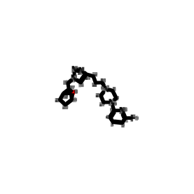 Fc1cccc(N2CCN(CCCc3cn(CC4CC5CCC4C5)nn3)CC2)n1